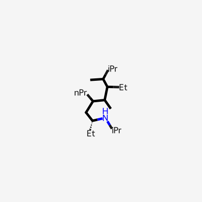 CCCC(C[C@@H](CC)NC(C)C)C(C)C(CC)C(C)C(C)C